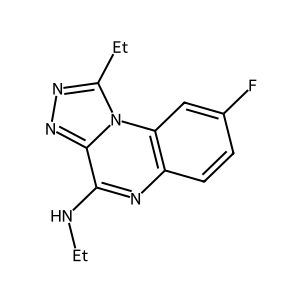 CCNc1nc2ccc(F)cc2n2c(CC)nnc12